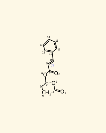 [CH2]CC(OC=O)OC(=O)/C=C/c1ccccc1